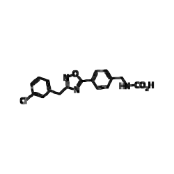 O=C(O)NCc1ccc(-c2nc(Cc3cccc(Cl)c3)no2)cc1